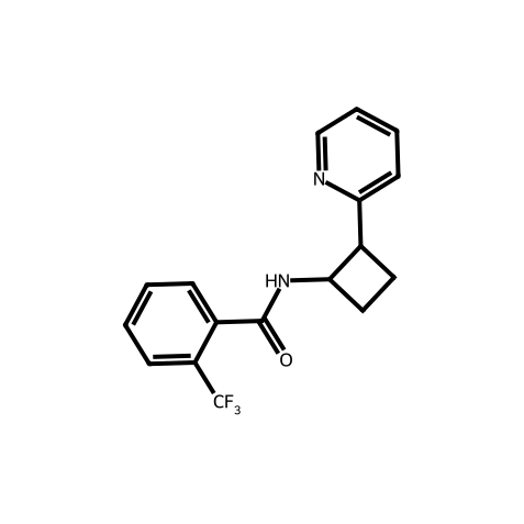 O=C(NC1CCC1c1ccccn1)c1ccccc1C(F)(F)F